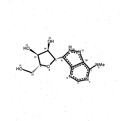 CNc1ncnc2c([C@@H]3O[C@H](CO)[C@@H](O)[C@H]3O)[nH]nc12